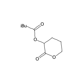 CCC(C)C(=O)OC1CCCOC1=O